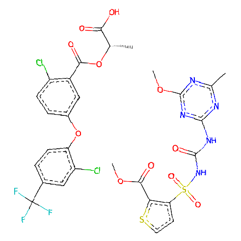 COC(=O)c1sccc1S(=O)(=O)NC(=O)Nc1nc(C)nc(OC)n1.C[C@H](OC(=O)c1cc(Oc2ccc(C(F)(F)F)cc2Cl)ccc1Cl)C(=O)O